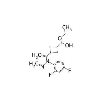 C=NN(C(=C)C1CC(C(O)OCC)C1)c1ccc(F)cc1F